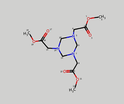 COC(=O)CN1CN(CC(=O)OC)CN(CC(=O)OC)C1